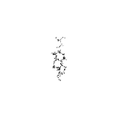 CCn1ncc2c3ncn(CCC(C)C)c(=O)c3cnc21